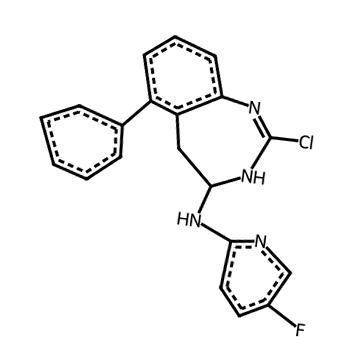 Fc1ccc(NC2Cc3c(cccc3-c3ccccc3)N=C(Cl)N2)nc1